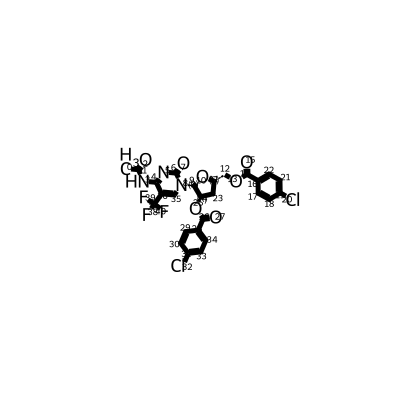 CC(=O)Nc1nc(=O)n([C@@H]2O[C@H](COC(=O)c3ccc(Cl)cc3)C[C@H]2OC(=O)c2ccc(Cl)cc2)cc1C(F)(F)F